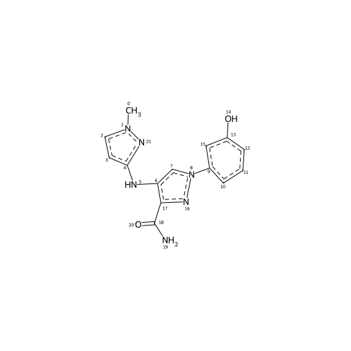 Cn1ccc(Nc2cn(-c3cccc(O)c3)nc2C(N)=O)n1